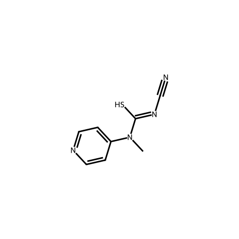 CN(C(S)=NC#N)c1ccncc1